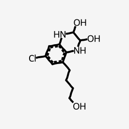 OCCCCc1cc(Cl)cc2c1NC(O)C(O)N2